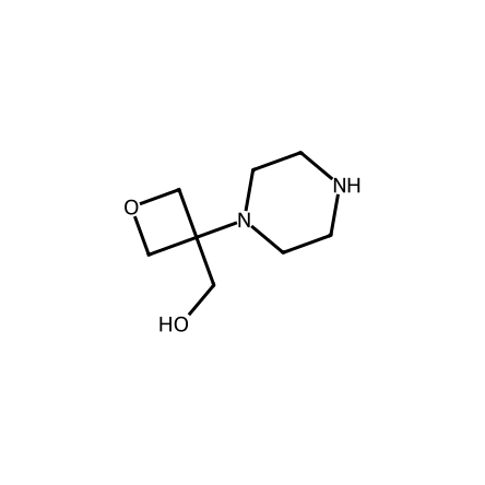 OCC1(N2CCNCC2)COC1